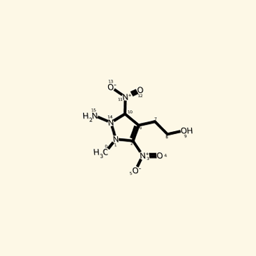 CN1C([N+](=O)[O-])=C(CCO)C([N+](=O)[O-])N1N